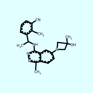 Cc1c(C#N)cccc1C(C)Nc1nnc(C)c2ccc(N3CC(C)(O)C3)cc12